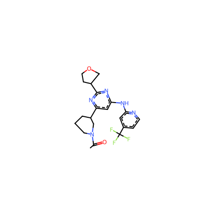 CC(=O)N1CCCC(c2cc(Nc3cc(C(F)(F)F)ccn3)nc(C3CCOC3)n2)C1